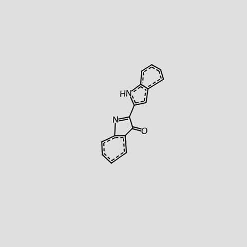 O=C1C(c2cc3ccccc3[nH]2)=Nc2ccccc21